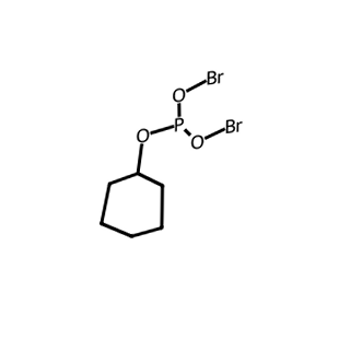 BrOP(OBr)OC1CCCCC1